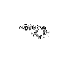 CC[C@H]1OC(=O)[C@H](C)[C@@H](O)[C@H](C)[C@@H](O)[C@](C)(O)C[C@@H](C)CN(CCCNC(=O)[C@@]2(O)CCC3C4CCC5=CC(=O)C=C[C@]5(C)[C@@]4(F)[C@@H](O)C[C@@]32C)[C@H](C)[C@@H](O)[C@]1(C)O